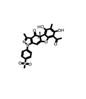 CC(=O)c1c(O)c(C)c(O)c2c1OC1=Cc3c(c(C)nn3-c3ccc(S(C)(=O)=O)cc3)C(=O)[C@@]12C